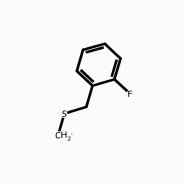 [CH2]SCc1ccccc1F